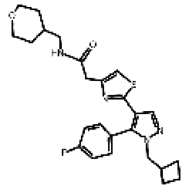 O=C(Cc1csc(-c2cnn(CC3CCC3)c2-c2ccc(F)cc2)n1)NCC1CCOCC1